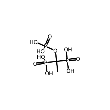 CC(OP(=O)(O)O)(P(=O)(O)O)P(=O)(O)O